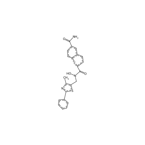 Cc1nc(-c2ccccc2)sc1CN(O)C(=O)c1ccc2cc(C(N)=O)ccc2c1